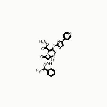 BOC(=O)C1=C(Sc2nc(-c3ccncc3)cs2)CS[C@@H]2[C@H](NOC(=C)c3ccccc3)C(=O)N12